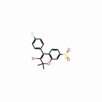 CC1(C)Oc2cc([SH](=O)=O)ccc2C(c2ccc(F)cc2)=C1Br